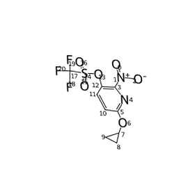 O=[N+]([O-])c1nc(OC2CC2)ccc1OS(=O)(=O)C(F)(F)F